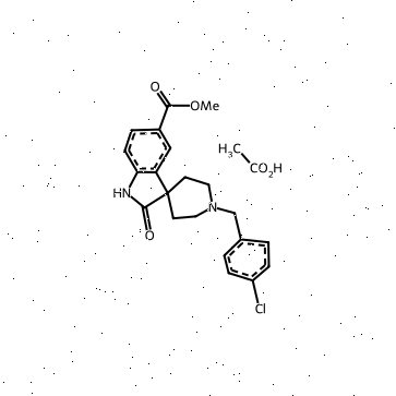 CC(=O)O.COC(=O)c1ccc2c(c1)C1(CCN(Cc3ccc(Cl)cc3)CC1)C(=O)N2